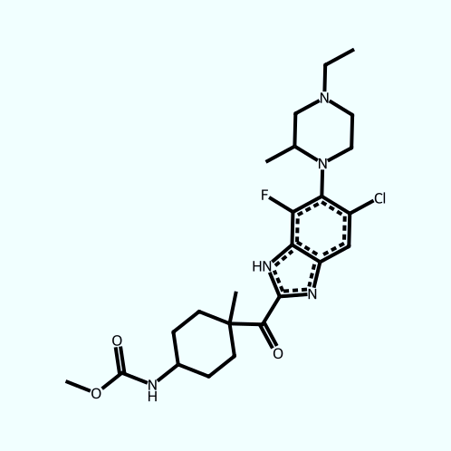 CCN1CCN(c2c(Cl)cc3nc(C(=O)C4(C)CCC(NC(=O)OC)CC4)[nH]c3c2F)C(C)C1